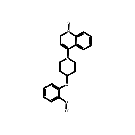 [O]N1CC=C(N2CCC(Oc3ccccc3OC(F)(F)F)CC2)c2ccccc21